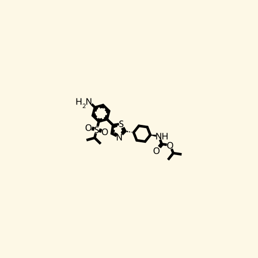 CC(C)OC(=O)N[C@H]1CC[C@H](c2ncc(-c3ccc(N)cc3S(=O)(=O)C(C)C)s2)CC1